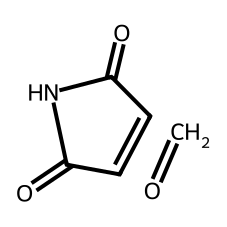 C=O.O=C1C=CC(=O)N1